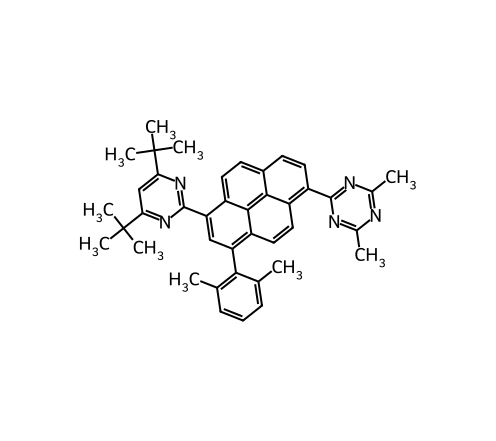 Cc1nc(C)nc(-c2ccc3ccc4c(-c5nc(C(C)(C)C)cc(C(C)(C)C)n5)cc(-c5c(C)cccc5C)c5ccc2c3c45)n1